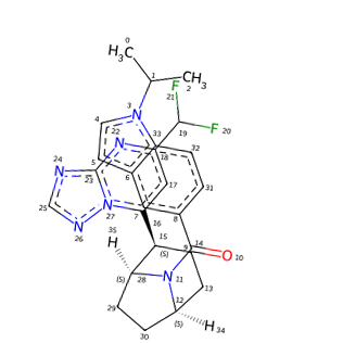 CC(C)n1ccc2cc(C(=O)N3[C@H]4CC[C@H](c5cc(C(F)F)nc6ncnn56)[C@@H]3CC4)ccc21